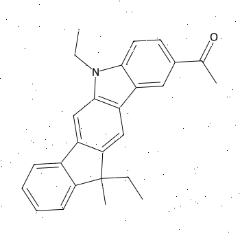 CCn1c2ccc(C(C)=O)cc2c2cc3c(cc21)-c1ccccc1C3(C)CC